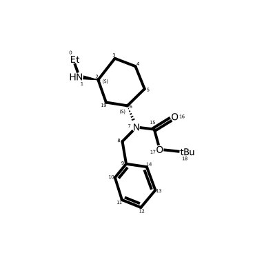 CCN[C@H]1CCC[C@H](N(Cc2ccccc2)C(=O)OC(C)(C)C)C1